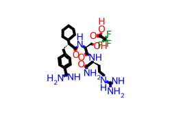 N=C(N)NCCC[C@H](NC(=O)[C@H](CO)NC(=O)[C@H](Cc1ccc(C(=N)N)cc1)C1CCCCC1)C(N)=O.O=C(O)C(F)(F)F